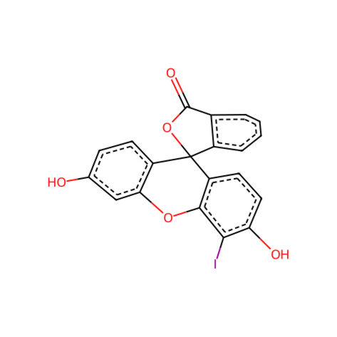 O=C1OC2(c3ccc(O)cc3Oc3c2ccc(O)c3I)c2ccccc21